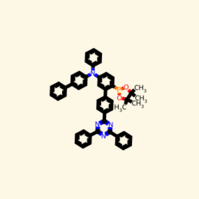 CC1(C)OP(c2ccc(N(c3ccccc3)c3ccc(-c4ccccc4)cc3)cc2-c2ccc(-c3nc(-c4ccccc4)nc(-c4ccccc4)n3)cc2)OC1(C)C